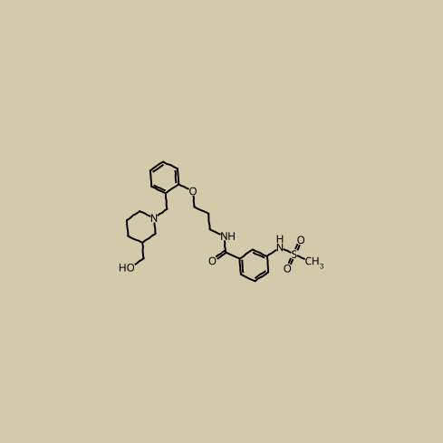 CS(=O)(=O)Nc1cccc(C(=O)NCCCOc2ccccc2CN2CCCC(CO)C2)c1